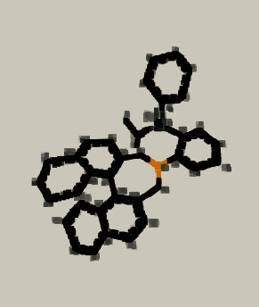 CC(C)[Si@@H](c1ccccc1)c1ccccc1P1Cc2ccc3ccccc3c2-c2c(ccc3ccccc23)C1